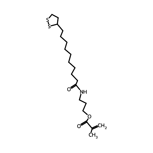 C=C(C)C(=O)OCCCNC(=O)CCCCCCCCCC1CCSS1